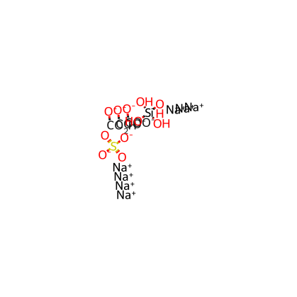 O=C([O-])O.O=C([O-])[O-].O=C([O-])[O-].O=S(=O)([O-])[O-].O[Si](O)(O)O.[Na+].[Na+].[Na+].[Na+].[Na+].[Na+].[Na+]